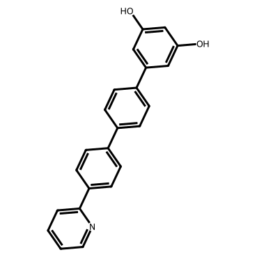 Oc1cc(O)cc(-c2ccc(-c3ccc(-c4ccccn4)cc3)cc2)c1